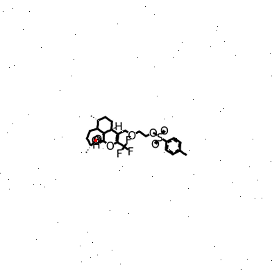 Cc1ccc(S(=O)(=O)OCCOCC2=C(C(F)(F)F)O[C@@H]3O[C@]4(C)CCC5[C@H](C)CC[C@@H]2[C@]53OO4)cc1